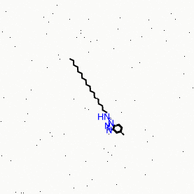 CCCCCCCCCCCCCCCCCCNCn1nnc2cc(C)ccc21